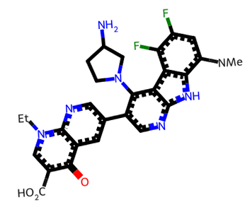 CCn1cc(C(=O)O)c(=O)c2cc(-c3cnc4[nH]c5c(NC)cc(F)c(F)c5c4c3N3CCC(N)C3)cnc21